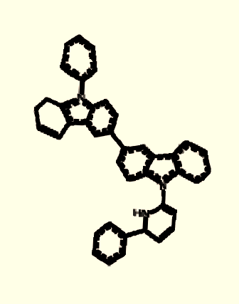 C1=CC(c2ccccc2)NC(n2c3ccccc3c3cc(-c4ccc5c(c4)c4c(n5-c5ccccc5)CCC=C4)ccc32)=C1